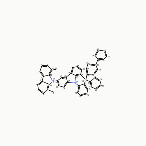 Cc1cccc2c3cccc(C)c3n(-c3ccc4c(c3)c3cccc5c3n4-c3ccccc3[Si]5(c3ccccc3)c3ccc(-c4ccccc4)cc3)c12